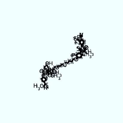 Cc1ncsc1-c1ccc(CNC(=O)[C@@H]2C[C@@H](O)CN2C(=O)[C@@H](NC(=O)COCCCOCCCCCOc2ccc(N3C(=S)N(c4ccc(C#N)c(C(F)(F)F)c4)C(=O)C3(C)C)cc2F)C(C)(C)C)cc1